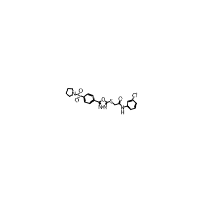 O=C(CSc1nnc(-c2ccc(S(=O)(=O)N3CCCC3)cc2)o1)Nc1cccc(Cl)c1